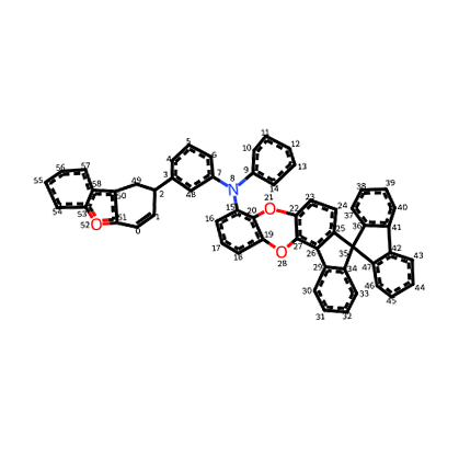 C1=CC(c2cccc(N(c3ccccc3)c3cccc4c3Oc3ccc5c(c3O4)-c3ccccc3C53c4ccccc4-c4ccccc43)c2)Cc2c1oc1ccccc21